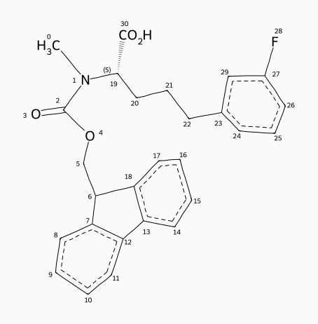 CN(C(=O)OCC1c2ccccc2-c2ccccc21)[C@@H](CCCc1cccc(F)c1)C(=O)O